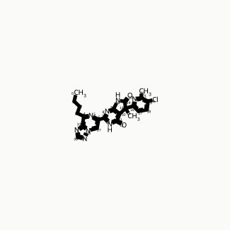 CCCCc1nc(-c2nc3c(c(=O)[nH]2)C(C)(c2ccc(Cl)c(C)n2)C(=O)N3)cn2ncnc12